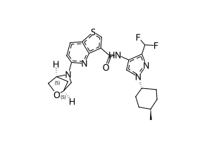 C[C@H]1CC[C@H](n2cc(NC(=O)c3csc4ccc(N5C[C@@H]6C[C@H]5CO6)nc34)c(C(F)F)n2)CC1